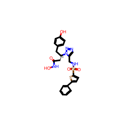 O=C(C[C@H](Cc1ccc(O)cc1)n1nncc1CNS(=O)(=O)c1ccc(-c2ccccc2)s1)NO